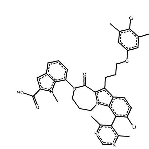 Cc1cc(OCCCc2c3n(c4c(-c5c(C)ncnc5C)c(Cl)ccc24)CCCN(c2cccc4cc(C(=O)O)n(C)c24)C3=O)cc(C)c1Cl